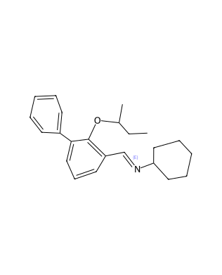 CCC(C)Oc1c(/C=N/C2CCCCC2)cccc1-c1ccccc1